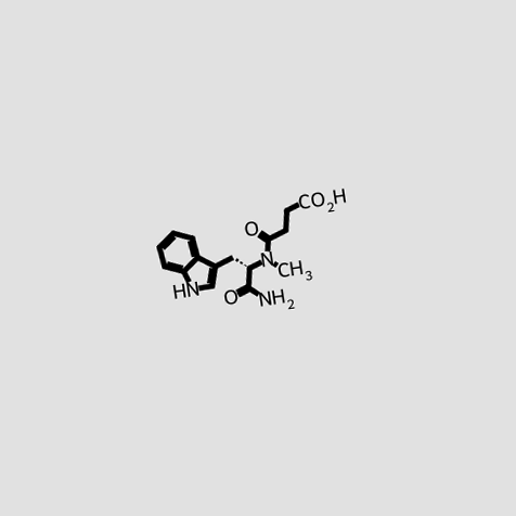 CN(C(=O)CCC(=O)O)[C@@H](Cc1c[nH]c2ccccc12)C(N)=O